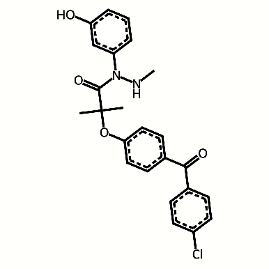 CNN(C(=O)C(C)(C)Oc1ccc(C(=O)c2ccc(Cl)cc2)cc1)c1cccc(O)c1